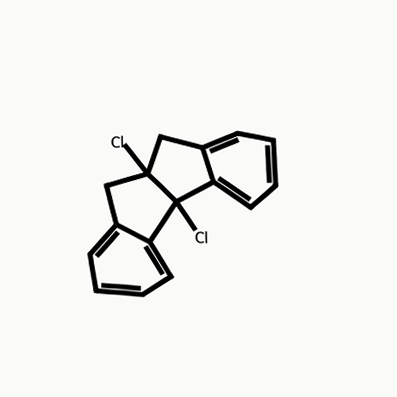 ClC12Cc3ccccc3C1(Cl)c1ccccc1C2